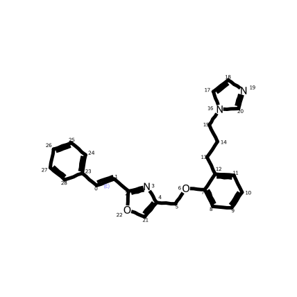 C(=C\c1nc(COc2ccccc2CCCn2ccnc2)co1)/c1ccccc1